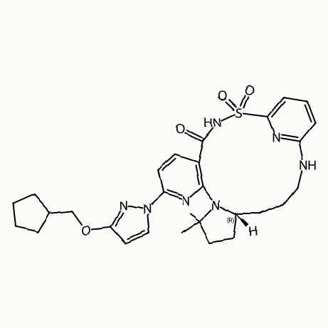 CC1(C)CC[C@H]2CCCNc3cccc(n3)S(=O)(=O)NC(=O)c3ccc(-n4ccc(OCC5CCCC5)n4)nc3N21